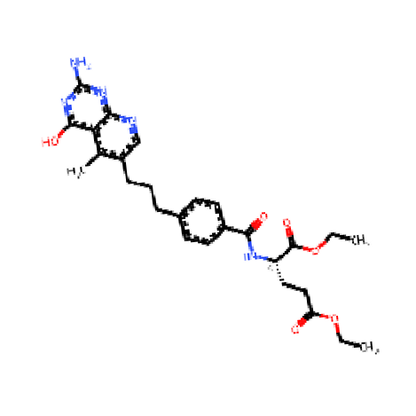 CCOC(=O)CC[C@H](NC(=O)c1ccc(CCCc2cnc3nc(N)nc(O)c3c2C)cc1)C(=O)OCC